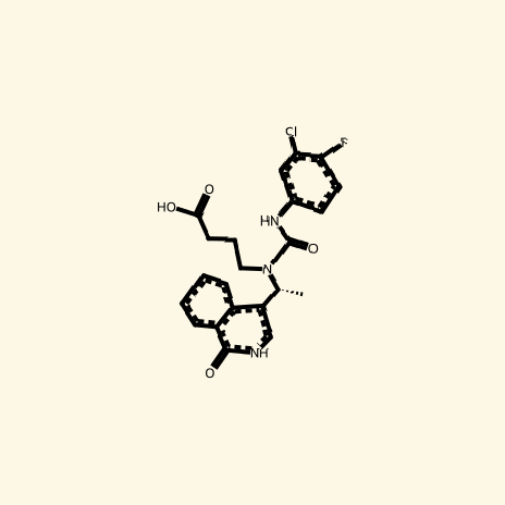 C[C@H](c1c[nH]c(=O)c2ccccc12)N(CCCC(=O)O)C(=O)Nc1ccc(F)c(Cl)c1